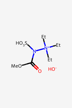 CC[N+](CC)(CC)N(C(=O)OC)S(=O)(=O)O.[OH-]